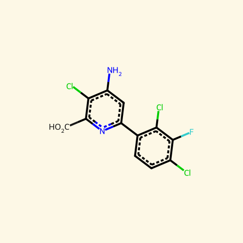 Nc1cc(-c2ccc(Cl)c(F)c2Cl)nc(C(=O)O)c1Cl